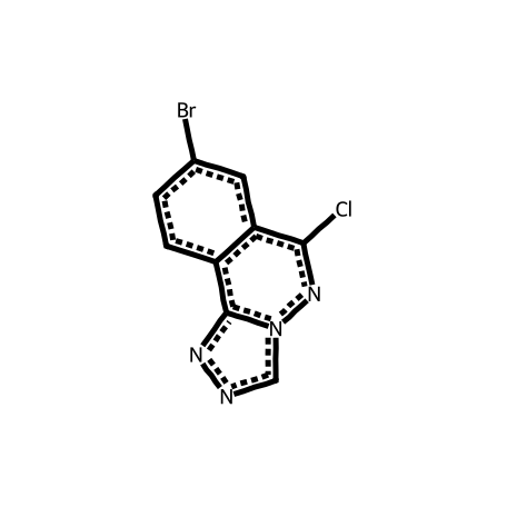 Clc1nn2cnnc2c2ccc(Br)cc12